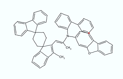 CC1=C(/C=C(\C)N(c2ccc3c(c2)oc2ccccc23)c2ccccc2-c2ccccc2)C2(CCC3(CC2)c2ccccc2-c2ccccc23)c2ccccc21